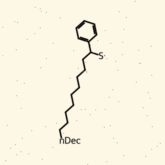 CCCCCCCCCCCCCCCCCCCC([S])c1ccccc1